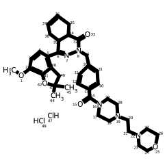 COc1ccc(C2=NN(Cc3ccc(C(=O)N4CCN(CCN5CCOCC5)CC4)cc3)C(=O)C3CC=CCC23)c2c1OC(C)(C)C2.Cl.Cl